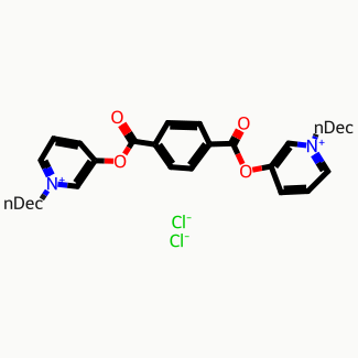 CCCCCCCCCC[n+]1cccc(OC(=O)c2ccc(C(=O)Oc3ccc[n+](CCCCCCCCCC)c3)cc2)c1.[Cl-].[Cl-]